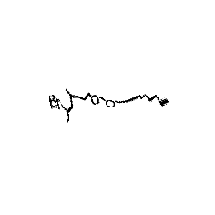 CCCCCCCOCOCCCC(C)CC(C)Br